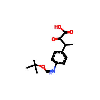 CC(C(=O)C(=O)O)c1ccc(/N=C\OC(C)(C)C)cc1